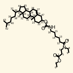 CCOC(=O)CCN(CC)C(=O)CCCCCNC(=O)OC1CCC2(C)C(=CCC3C2CCC2(C)C(C(C)CCCC(C)C)CCC32)C1